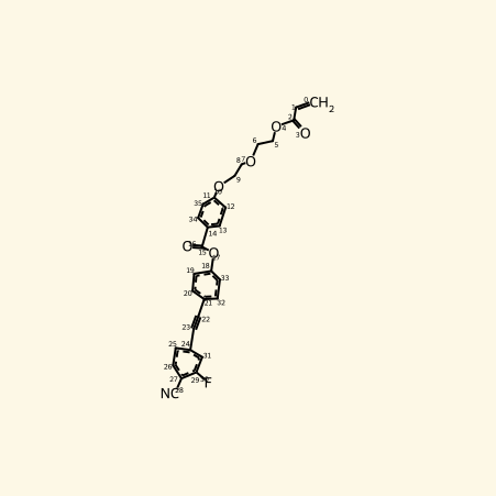 C=CC(=O)OCCOCCOc1ccc(C(=O)Oc2ccc(C#Cc3ccc(C#N)c(F)c3)cc2)cc1